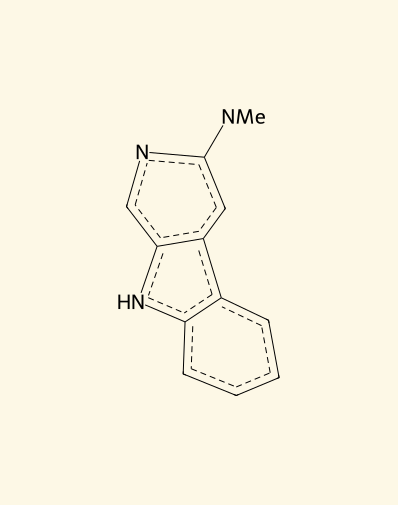 CNc1cc2c(cn1)[nH]c1ccccc12